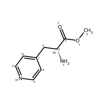 COC(=O)[C@H](N)Cc1ccncc1